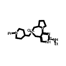 CCN[C@@H]1N=C2C(=CN1)C[N+]([O-])(CC1CCN(C(C)C)CC1)CC1CCCN21